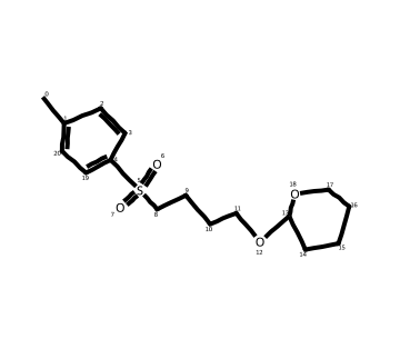 Cc1ccc(S(=O)(=O)CCCCOC2CCCCO2)cc1